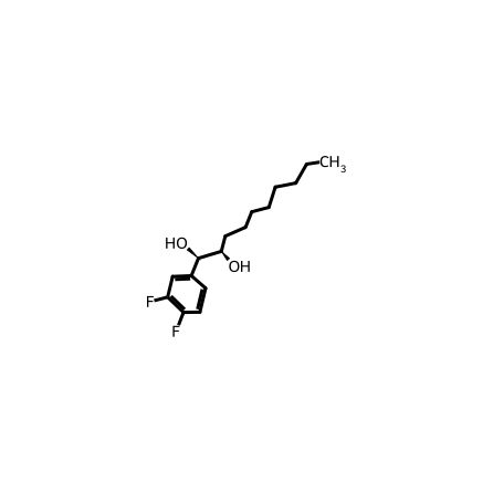 CCCCCCCC[C@@H](O)[C@H](O)c1ccc(F)c(F)c1